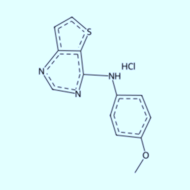 COc1ccc(Nc2ncnc3ccsc23)cc1.Cl